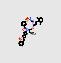 Cc1cccc(C)c1-c1cc2nc(n1)NS(=O)(=O)c1cccc(c1)C(=O)N([C@H]1CC3(C1)C[C@](O)(Cc1ccccc1)C3)[C@H](CC(C)(C)C)CO2